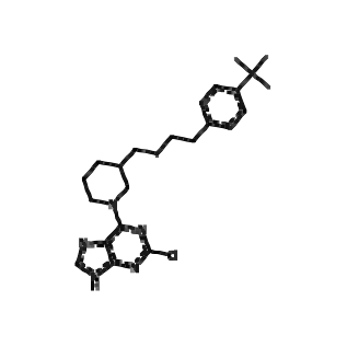 CC(C)(C)c1ccc(CC[CH]CC2CCCN(c3nc(Cl)nc4[nH]cnc34)C2)cc1